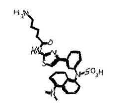 CN(C)c1cccc2c(N(c3cccc(-c4csc(NC(=O)CCCCN)n4)c3)S(=O)(=O)O)cccc12